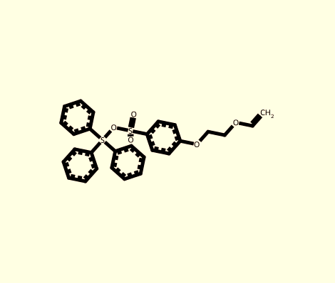 C=COCCOc1ccc(S(=O)(=O)OS(c2ccccc2)(c2ccccc2)c2ccccc2)cc1